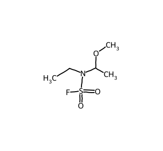 CCN(C(C)OC)S(=O)(=O)F